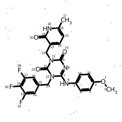 COc1ccc(Nc2nc(=O)n(Cc3ccc(C)[nH]c3=O)c(=O)n2Cc2cc(F)c(F)c(F)c2)cc1